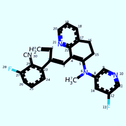 C=C/C(=C\C1=C(N(C)c2cncc(F)c2)CCc2cccnc21)c1cccc(F)c1C#N